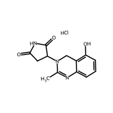 CC1=Nc2cccc(O)c2CN1C1CC(=O)NC1=O.Cl